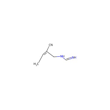 C/C=C(/C#N)CNC=N